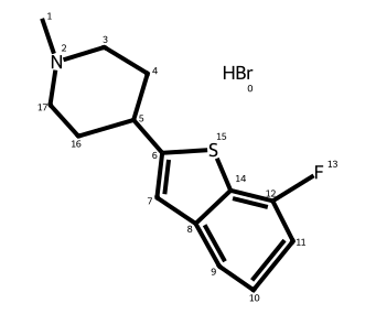 Br.CN1CCC(c2cc3cccc(F)c3s2)CC1